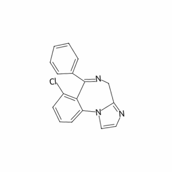 Clc1cccc2c1C(c1ccccc1)=NCc1nccn1-2